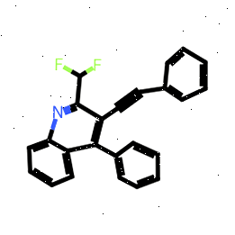 FC(F)c1nc2ccccc2c(-c2ccccc2)c1C#Cc1ccccc1